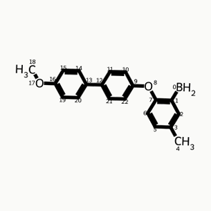 Bc1cc(C)ccc1Oc1ccc(-c2ccc(OC)cc2)cc1